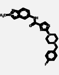 Cn1cc2cc(NC(=O)c3[c]sc(N4CCN(Cc5ccc(F)cc5)CC4)n3)ccc2n1